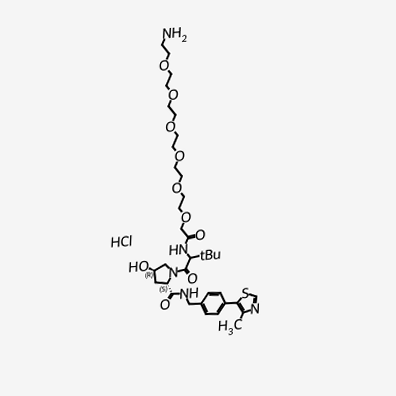 Cc1ncsc1-c1ccc(CNC(=O)[C@@H]2C[C@@H](O)CN2C(=O)C(NC(=O)COCCOCCOCCOCCOCCOCCN)C(C)(C)C)cc1.Cl